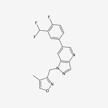 Cc1conc1Cn1ncc2ncc(-c3ccc(F)c(C(F)F)c3)cc21